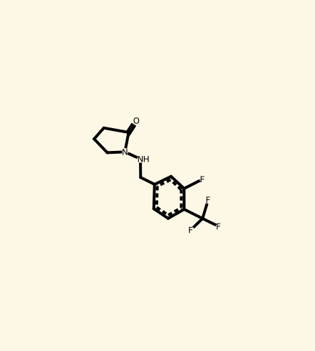 O=C1CCCN1NCc1ccc(C(F)(F)F)c(F)c1